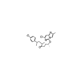 COc1ccc([C@H](C)CC2C[C@H]([C@@H](C)Oc3nc(Cl)cc4nc(C)cn34)CC2=O)cc1